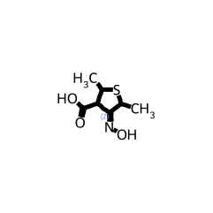 CC1SC(C)C(C(=O)O)/C1=N/O